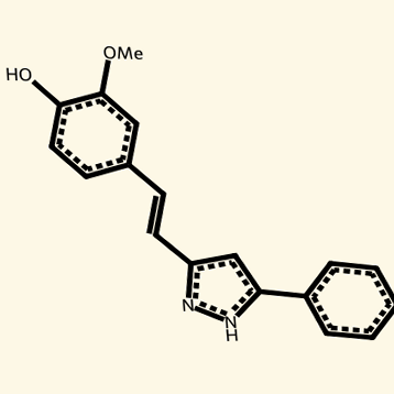 COc1cc(C=Cc2cc(-c3ccccc3)[nH]n2)ccc1O